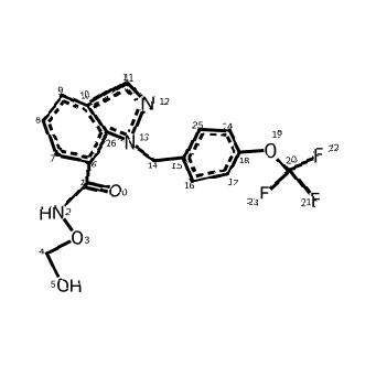 O=C(NOCO)c1cccc2cnn(Cc3ccc(OC(F)(F)F)cc3)c12